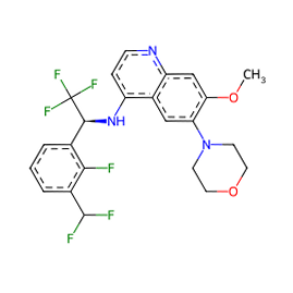 COc1cc2nccc(N[C@@H](c3cccc(C(F)F)c3F)C(F)(F)F)c2cc1N1CCOCC1